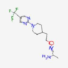 CC(N)/C=N/OCCC1CCN(c2ncc(C(F)(F)F)cn2)CC1